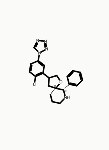 Clc1ccc(-n2cnnn2)cc1C1CO[C@]2(CCCN[C@H]2c2ccccc2)C1